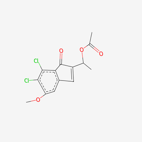 COc1cc2c(c(Cl)c1Cl)C(=O)C(C(C)OC(C)=O)=C2